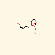 CCCCCCOC[C@H]1[C@@H](CC/C=C\CO)[C@H]2CC[C@@H]1O2